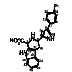 O=C(O)C1N[C@@H](c2nc(-c3ccc(F)cc3)c[nH]2)Cc2c1[nH]c1ccccc21